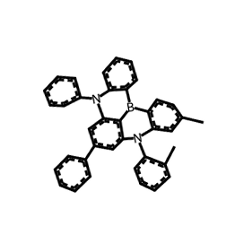 Cc1ccc2c(c1)N(c1ccccc1C)c1cc(-c3ccccc3)cc3c1B2c1ccccc1N3c1ccccc1